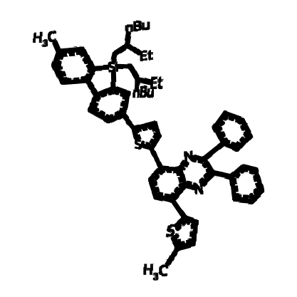 CCCCC(CC)C[Si]1(CC(CC)CCCC)c2cc(C)ccc2-c2ccc(-c3ccc(-c4ccc(-c5ccc(C)s5)c5nc(-c6ccccc6)c(-c6ccccc6)nc45)s3)cc21